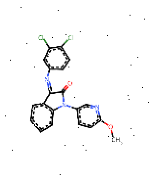 COc1ccc(N2C(=O)C(=Nc3ccc(Cl)c(Cl)c3)c3ccccc32)cn1